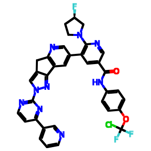 O=C(Nc1ccc(OC(F)(F)Cl)cc1)c1cnc(N2CC[C@@H](F)C2)c(-c2cnc3c(c2)-c2nn(-c4nccc(-c5cccnc5)n4)cc2C3)c1